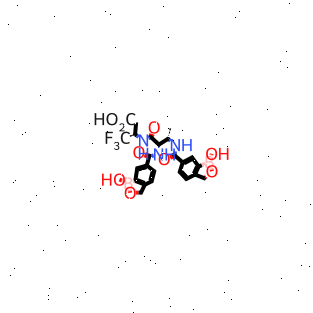 C[C@H](NC(=O)c1ccc2c(c1)B(O)OC2)[C@H](NC(=O)c1ccc2c(c1)B(O)OC2)C(=O)N[C@@H](CC(=O)O)C(F)(F)F